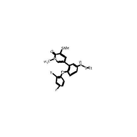 CCSNc1ccc(Oc2ccc(F)cc2F)c(-c2cc(SC)c(=O)n(C)c2)c1